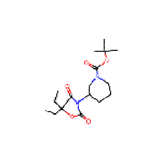 CCC1(CC)OC(=O)N(C2CCCN(C(=O)OC(C)(C)C)C2)C1=O